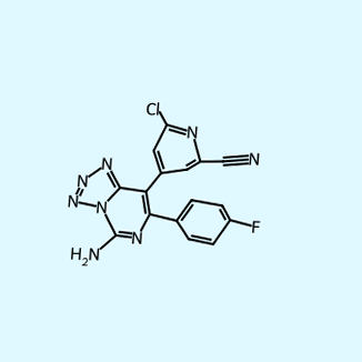 N#Cc1cc(-c2c(-c3ccc(F)cc3)nc(N)n3nnnc23)cc(Cl)n1